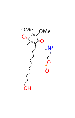 COC1=C(OC)C(=O)C(CCCCCCCCCCO)=C(C)C1=O.C[N+](C)(C)CCOP=O